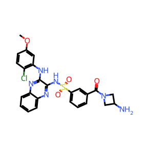 COc1ccc(Cl)c(Nc2nc3ccccc3nc2NS(=O)(=O)c2cccc(C(=O)N3CC(N)C3)c2)c1